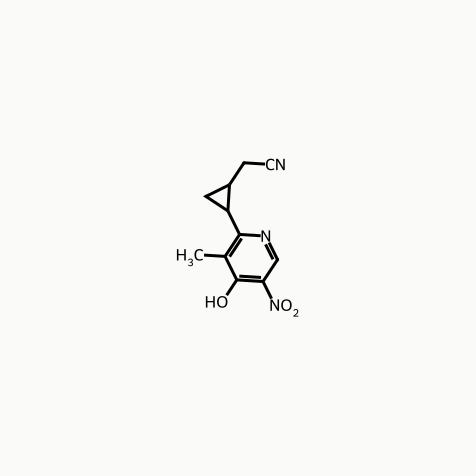 Cc1c(C2CC2CC#N)ncc([N+](=O)[O-])c1O